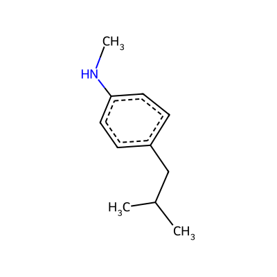 CNc1ccc(CC(C)C)cc1